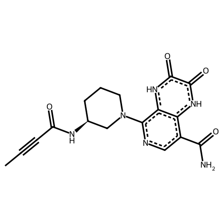 CC#CC(=O)N[C@H]1CCCN(c2ncc(C(N)=O)c3[nH]c(=O)c(=O)[nH]c23)C1